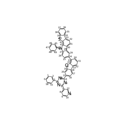 c1ccc(-c2nc(-c3cccnc3)nc(-c3ccc4c(c3)oc3c(-c5ccc6c(c5)c5ccc7c8ccccc8sc7c5n6-c5ccccc5)cccc34)n2)cc1